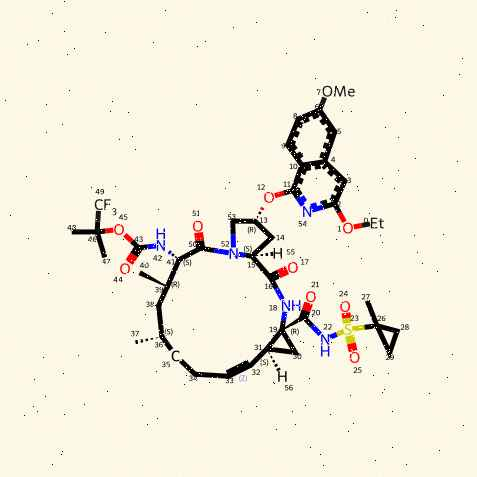 CCOc1cc2cc(OC)ccc2c(O[C@@H]2C[C@H]3C(=O)N[C@]4(C(=O)NS(=O)(=O)C5(C)CC5)C[C@H]4/C=C\CC[C@H](C)C[C@@H](C)[C@H](NC(=O)OC(C)(C)C(F)(F)F)C(=O)N3C2)n1